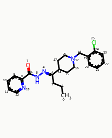 CCC/C(=N\NC(=O)c1ccccn1)C1CCN(Cc2ccccc2Cl)CC1